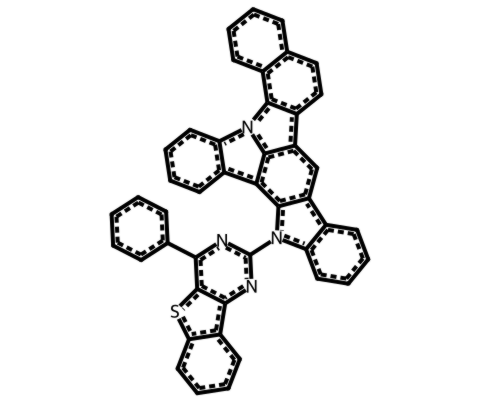 c1ccc(-c2nc(-n3c4ccccc4c4cc5c6ccc7ccccc7c6n6c7ccccc7c(c43)c56)nc3c2sc2ccccc23)cc1